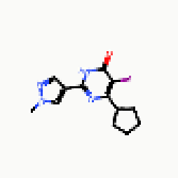 Cn1cc(-c2nc(C3CCCC3)c(I)c(=O)[nH]2)cn1